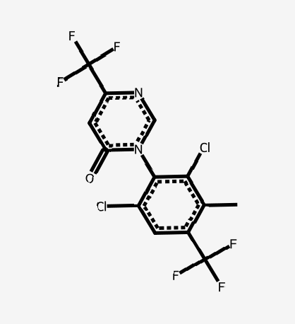 Cc1c(C(F)(F)F)cc(Cl)c(-n2cnc(C(F)(F)F)cc2=O)c1Cl